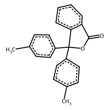 Cc1ccc(C2(c3ccc(C)cc3)OC(=O)c3ccccc32)cc1